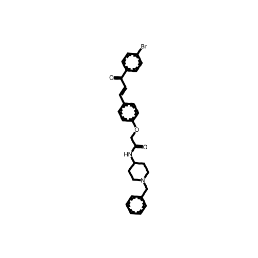 O=C(COc1ccc(C=CC(=O)c2ccc(Br)cc2)cc1)NC1CCN(Cc2ccccc2)CC1